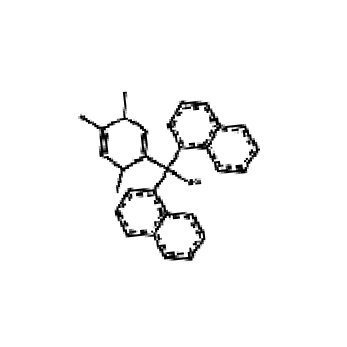 CCC(C)C(C1=CC(C)C(C)=CC1C)(c1cccc2ccccc12)c1cccc2ccccc12